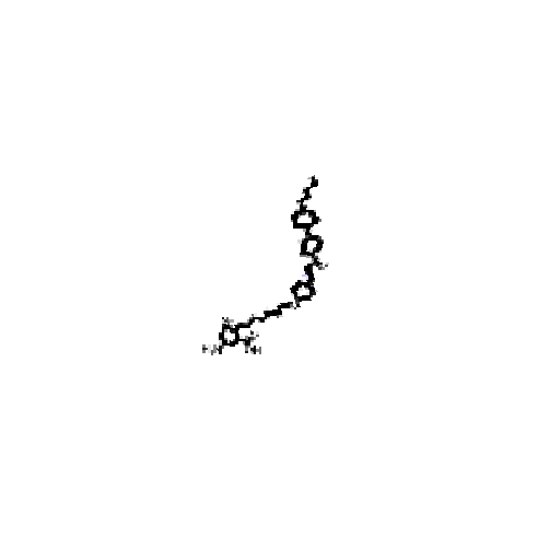 CCCCCc1ccc(-c2ccc(C(=O)/C=C/c3ccc(OCCCCCCCc4c(N)cc(N)cc4C(=O)O)cc3)cc2)cc1